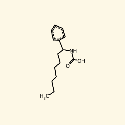 CCCCCCCC(NC(=O)O)c1ccccc1